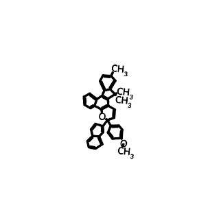 COc1ccc(C2(c3ccc4ccccc4c3)C=Cc3c4c(c5ccccc5c3O2)-c2ccc(C)cc2C4(C)C)cc1